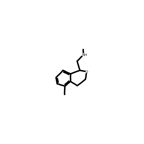 CNCC1OCCc2c(C)cccc21